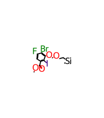 COC(=O)c1cc(F)c(Br)c(OCOCC[Si](C)(C)C)c1I